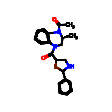 CC(=O)N1c2ccccc2N(C(=O)C2CNC(c3ccccc3)S2)C[C@@H]1C